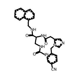 CC(C)C(=O)NCC(NC(=O)Cc1cncn1Cc1ccc(C#N)cc1)C(=O)NCc1cccc2ccccc12